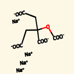 O=C([O-])CC(CC(=O)[O-])(OC(=O)[O-])C(=O)[O-].[Na+].[Na+].[Na+].[Na+]